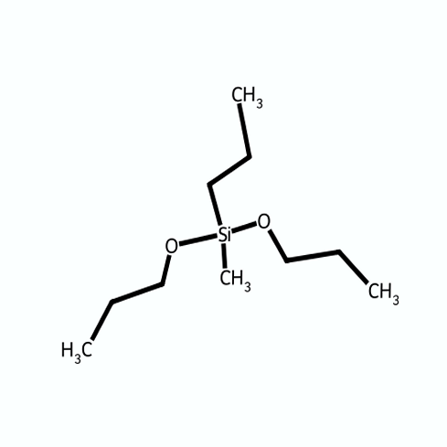 CCCO[Si](C)(CCC)OCCC